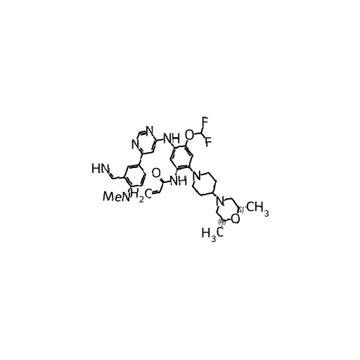 C=CC(=O)Nc1cc(Nc2cc(-c3ccc(NC)c(C=N)c3)ncn2)c(OC(F)F)cc1N1CCC(N2C[C@@H](C)O[C@@H](C)C2)CC1